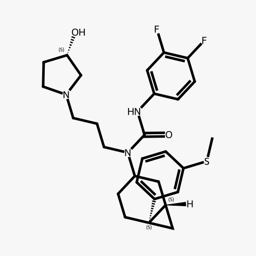 CSc1cccc([C@]23CCC(N(CCCN4CC[C@H](O)C4)C(=O)Nc4ccc(F)c(F)c4)C[C@@H]2C3)c1